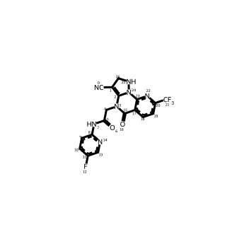 N#CC1=C2N(CC(=O)Nc3ccc(F)cn3)C(=O)c3ccc(C(F)(F)F)nc3N2NC1